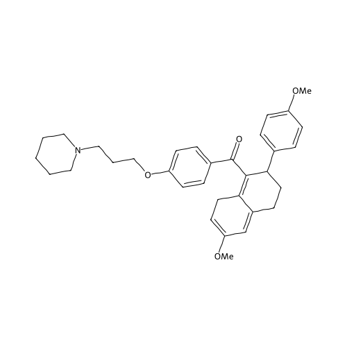 COC1=CCC2=C(C(=O)c3ccc(OCCCN4CCCCC4)cc3)C(c3ccc(OC)cc3)CCC2=C1